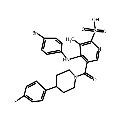 Cc1c(S(=O)(=O)O)ncc(C(=O)N2CCC(c3ccc(F)cc3)CC2)c1Nc1ccc(Br)cc1